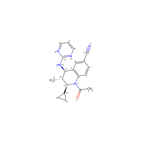 CC(=O)N1c2ccc(C#N)cc2[C@H](Nc2ncccn2)[C@@H](C)[C@@H]1C1CC1